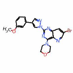 COc1cccc(-c2cnn(-c3nc(N4CCOCC4)c4ncc(Br)cc4n3)c2)c1